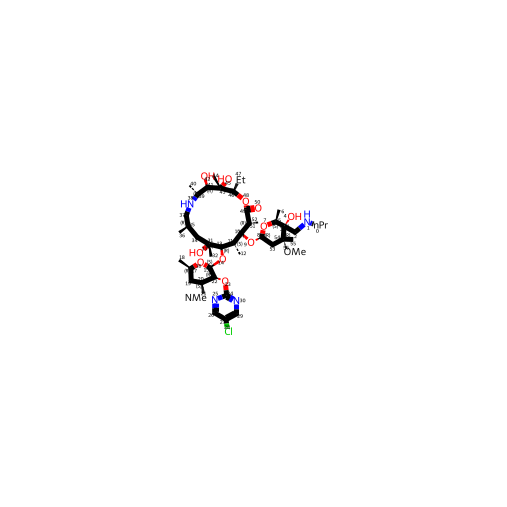 CCCNC[C@]1(O)[C@H](C)O[C@@H](O[C@H]2[C@H](C)[C@@H](O[C@@H]3O[C@H](C)C[C@H](NC)[C@H]3Oc3ncc(Cl)cn3)[C@](C)(O)C[C@@H](C)CN[C@H](C)[C@@H](O)[C@](C)(O)[C@@H](CC)OC(=O)[C@@H]2C)C[C@@]1(C)OC